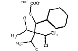 CC(Cl)C(C(C)Cl)(C(C)Cl)C(OC(=O)[O-])C1CCCCC1.[Na+]